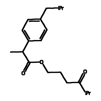 CC(C)Cc1ccc(C(C)C(=O)OCCCC(=O)C(C)C)cc1